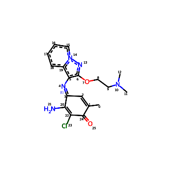 CC1=C/C(=N\c2c(OCCN(C)C)nn3ccccc23)C(N)=C(Cl)C1=O